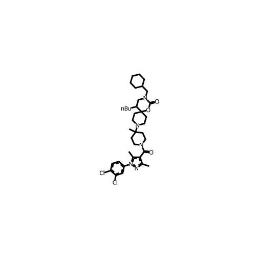 CCCCC1CN(CC2CCCCC2)C(=O)OC12CCN(C1(C)CCN(C(=O)c3c(C)nn(-c4ccc(Cl)c(Cl)c4)c3C)CC1)CC2